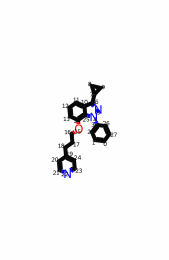 c1ccc(-n2nc(C3CC3)c3cccc(OCCCc4ccncc4)c32)cc1